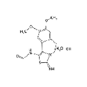 COc1cc2c(cc1OC)-c1c(NC=O)sc(=N)n1CC2.Cl.O